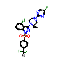 CCC(F)(F)c1ccc(S(=O)(=O)n2nc(N3CCN(c4ncc(F)cn4)CC34CC4)c3c(Cl)cccc32)cc1